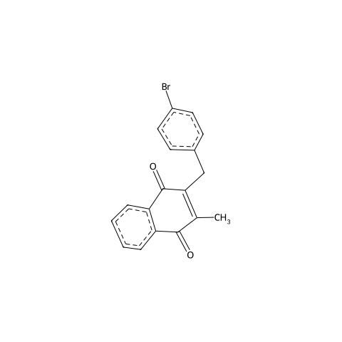 CC1=C(Cc2ccc(Br)cc2)C(=O)c2ccccc2C1=O